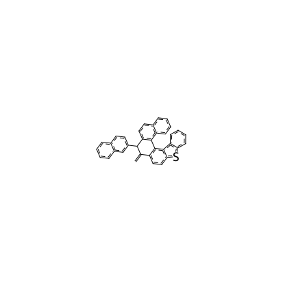 C=C1c2ccc3sc4ccccc4c3c2-c2c(ccc3ccccc23)C1c1ccc2ccccc2c1